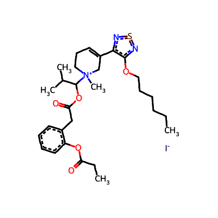 CCCCCCOc1nsnc1C1=CCC[N+](C)(C(OC(=O)Cc2ccccc2OC(=O)CC)C(C)C)C1.[I-]